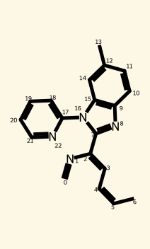 C=N/C(=C\C=C/C)c1nc2ccc(C)cc2n1-c1ccccn1